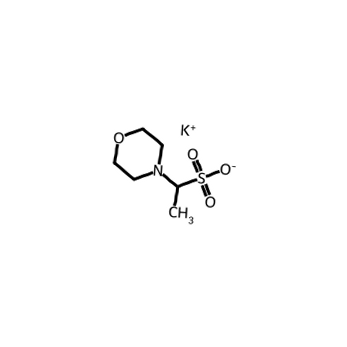 CC(N1CCOCC1)S(=O)(=O)[O-].[K+]